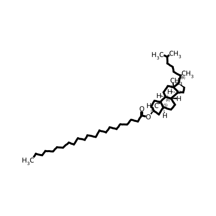 CCCCCCCCCCCCCCCCCCCCCC(=O)O[C@H]1CC[C@@]2(C)[C@@H](CC[C@@H]3[C@@H]2CC[C@]2(C)[C@@H]([C@H](C)CCCC(C)C)CC[C@@H]32)C1